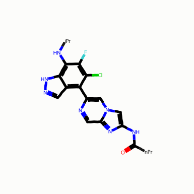 CCCC(=O)Nc1cn2cc(-c3c(Cl)c(F)c(NC(C)C)c4[nH]ncc34)ncc2n1